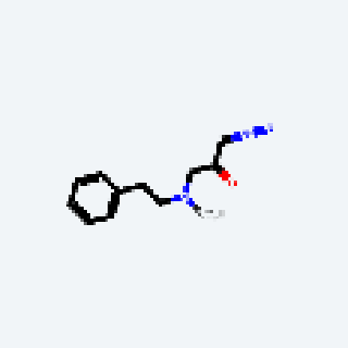 [N-]=[N+]=CC(=O)CN(CCc1ccccc1)C(=O)O